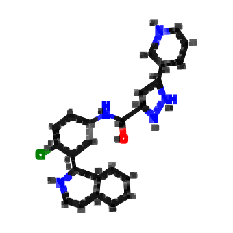 O=C(Nc1ccc(Cl)c(-c2nccc3ccccc23)c1)c1cc(-c2cccnc2)[nH]n1